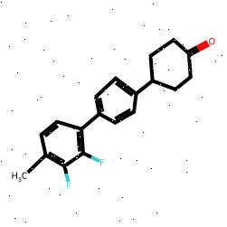 Cc1ccc(-c2ccc(C3CCC(=O)CC3)cc2)c(F)c1F